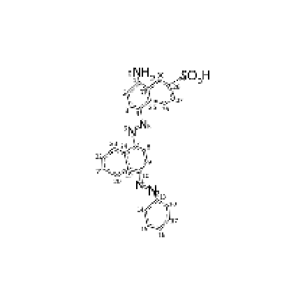 Nc1ccc(/N=N/c2ccc(/N=N/c3ccccc3)c3ccccc23)c2ccc(S(=O)(=O)O)cc12